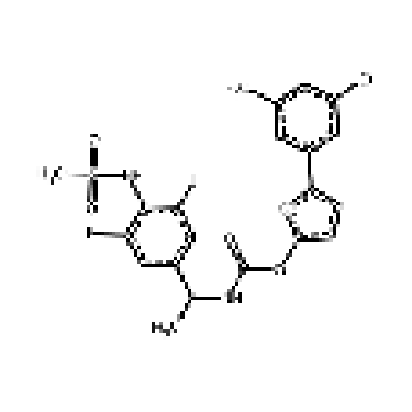 CCc1cc(-c2ccc(OC(=O)NC(C)c3cc(F)c(NS(C)(=O)=O)c(F)c3)o2)cc(C(F)(F)F)c1